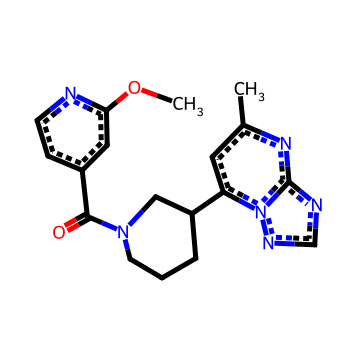 COc1cc(C(=O)N2CCCC(c3cc(C)nc4ncnn34)C2)ccn1